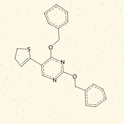 C1=C(c2cnc(OCc3ccccc3)nc2OCc2ccccc2)SCC1